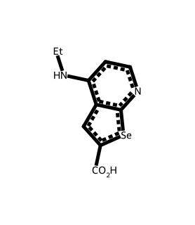 CCNc1ccnc2[se]c(C(=O)O)cc12